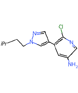 CC(C)CCn1cc(-c2cc(N)cnc2Cl)cn1